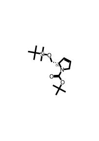 CC(C)(C)OC(=O)N1CC=C[C@H]1CO[Si](C)(C)C(C)(C)C